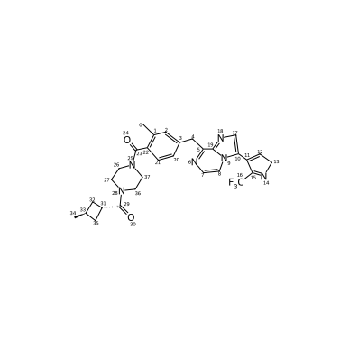 Cc1cc(Cc2nccn3c(C4=CCN=C4C(F)(F)F)cnc23)ccc1C(=O)N1CCN(C(=O)[C@H]2C[C@H](C)C2)CC1